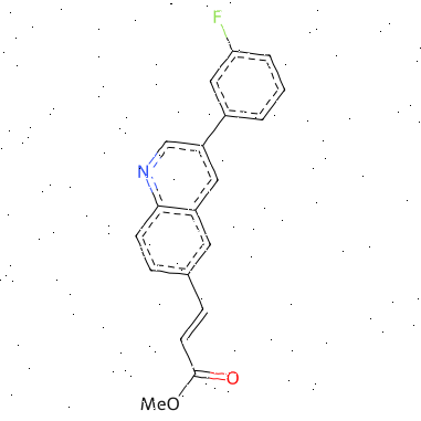 COC(=O)/C=C/c1ccc2ncc(-c3cccc(F)c3)cc2c1